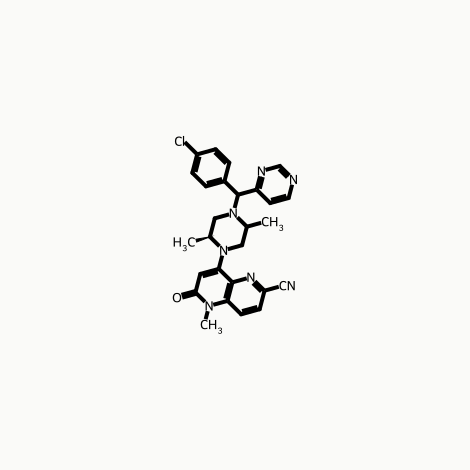 CC1CN(c2cc(=O)n(C)c3ccc(C#N)nc23)[C@@H](C)CN1C(c1ccc(Cl)cc1)c1ccncn1